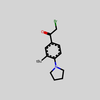 CC(C)(C)c1cc(C(=O)CBr)ccc1N1CCCC1